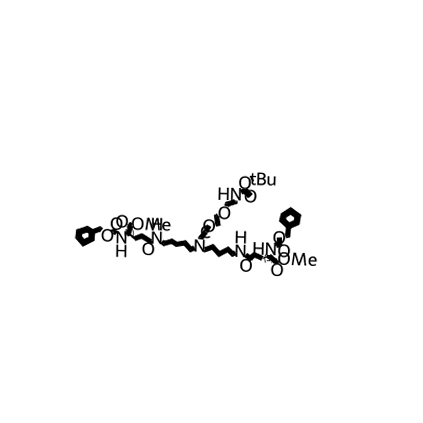 COC(=O)[C@H](CCC(=O)NCCCCCN(CCCCCNC(=O)CC[C@@H](NC(=O)OCc1ccccc1)C(=O)OC)CCOCCOCCNC(=O)OC(C)(C)C)NC(=O)OCc1ccccc1